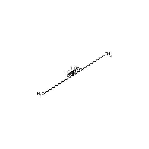 CCCCCCCCCCCCCCCCOCC(CNCC(COCCCCCCCCCCCCCCCC)S(=O)(=O)O)S(=O)(=O)O